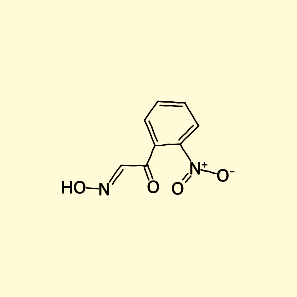 O=C(/C=N/O)c1ccccc1[N+](=O)[O-]